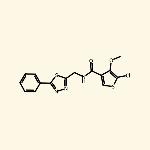 COc1c(C(=O)NCc2nnc(-c3ccccc3)s2)csc1Cl